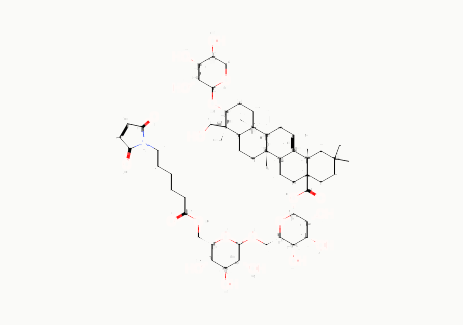 CC1(C)CCC2(C(=O)O[C@H]3O[C@H](COC4O[C@H](COC(=O)CCCCCN5C(=O)C=CC5=O)[C@@H](O)[C@H](O)[C@H]4O)[C@@H](O)[C@H](O)[C@H]3O)CC[C@]3(C)C(=CC[C@@H]4[C@@]5(C)CC[C@H](OC6OC[C@H](O)[C@H](O)[C@H]6O)[C@@](C)(CO)C5CC[C@]43C)[C@@H]2C1